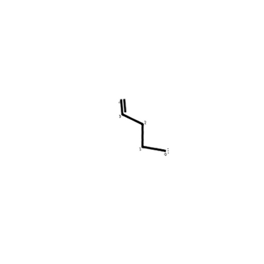 [C]CCC=C